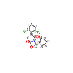 C[C@H](c1c(F)cccc1F)C(O)N1C(=O)OC[C@@H]1c1ccccc1